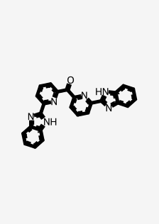 O=C(c1cccc(-c2nc3ccccc3[nH]2)n1)c1cccc(-c2nc3ccccc3[nH]2)n1